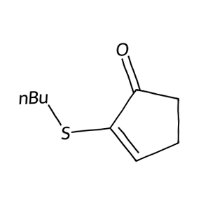 CCCCSC1=CCCC1=O